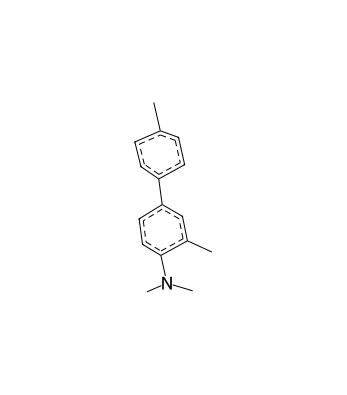 Cc1ccc(-c2ccc(N(C)C)c(C)c2)cc1